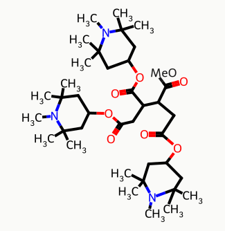 COC(=O)C(CC(=O)OC1CC(C)(C)N(C)C(C)(C)C1)C(CC(=O)OC1CC(C)(C)N(C)C(C)(C)C1)C(=O)OC1CC(C)(C)N(C)C(C)(C)C1